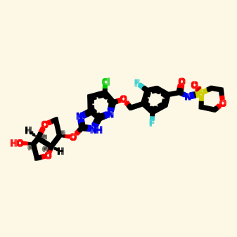 O=C(N=S1(=O)CCOCC1)c1cc(F)c(COc2nc3[nH]c(O[C@@H]4CO[C@H]5[C@@H]4OC[C@H]5O)nc3cc2Cl)c(F)c1